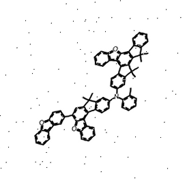 Cc1ccccc1N(c1ccc2c(c1)C(C)(C)c1cc(-c3ccc4oc5ccccc5c4c3)c3oc4ccccc4c3c1-2)c1ccc2c(c1)C(C)(C)c1c3c(c4oc5ccccc5c4c1-2)-c1ccccc1C3(C)C